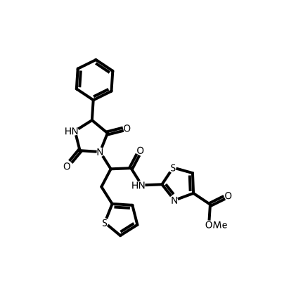 COC(=O)c1csc(NC(=O)C(Cc2cccs2)N2C(=O)NC(c3ccccc3)C2=O)n1